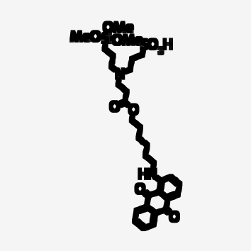 CO[Si](CCCN(CCCS(=O)(=O)O)CCC(=O)OCCCCCCNc1cccc2c1C(=O)c1ccccc1C2=O)(OC)OC